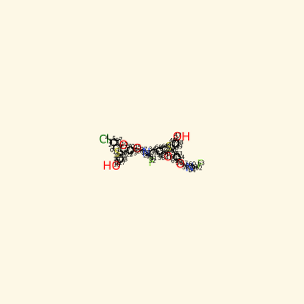 Cc1cc(Cl)cc(C)c1C(=O)c1sc2cc(O)ccc2c1-c1ccc(OCCN2CC(CF)C2Cc2cc(C)c(C(=O)c3sc4cc(O)ccc4c3-c3ccc(OCCN4CC(CF)C4)cc3)c(C)c2)cc1